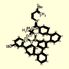 C=C(/C=C\N=C(/C)c1ccc(-c2ccccc2-c2cc(B(OCC)OC(C)(C)CC)cc(-c3ccccc3-c3ccc(-c4cc(C(C)(C)C)ccn4)cc3)c2)cc1)C(C)(C)C